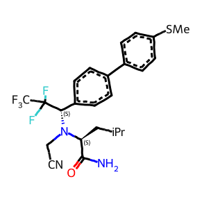 CSc1ccc(-c2ccc([C@H](N(CC#N)[C@@H](CC(C)C)C(N)=O)C(F)(F)C(F)(F)F)cc2)cc1